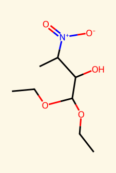 CCOC(OCC)C(O)C(C)[N+](=O)[O-]